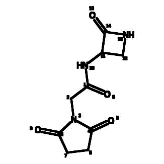 O=C(CN1C(=O)CCC1=O)NC1CNC1=O